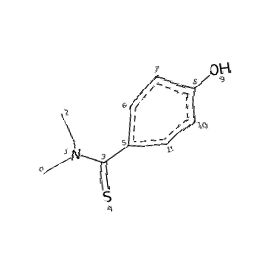 CN(C)C(=S)c1ccc(O)cc1